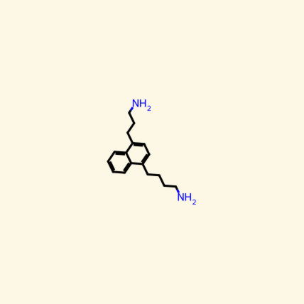 NCCCCc1ccc(CCCN)c2ccccc12